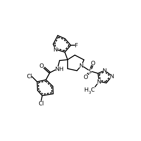 Cn1cnnc1S(=O)(=O)N1CCC(CNC(=O)c2ccc(Cl)cc2Cl)(c2ncccc2F)CC1